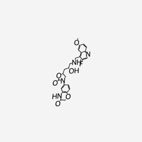 COc1ccc2ncc(F)c(CNCC(O)CC3CN(c4ccc5c(c4)NC(=O)CO5)C(=O)O3)c2c1